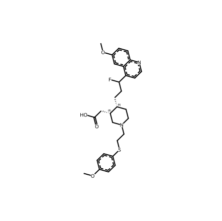 COc1ccc(SCCN2CC[C@@H](CCC(F)c3ccnc4ccc(OC)cc34)[C@@H](CC(=O)O)C2)cc1